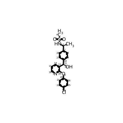 C[C@H](NS(C)(=O)=O)c1ccc([C@@H](O)c2cccnc2Oc2ccc(Cl)cc2)cc1